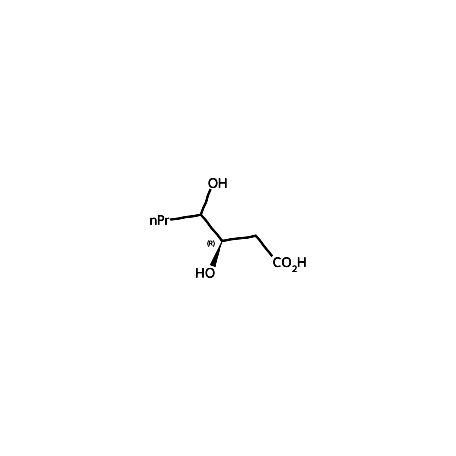 CCCC(O)[C@H](O)CC(=O)O